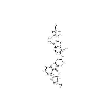 O=C1CCC(N2Cc3c(ccc(CN4CCN(C(=O)c5ccccc5-c5ccc(Cl)cc5)CC4)c3F)C2=O)C(=O)N1